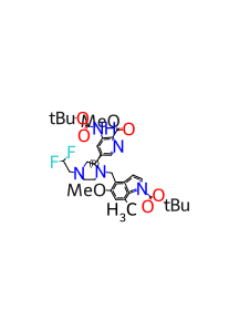 COC(=O)c1ncc([C@@H]2CN(CC(F)F)CCN2Cc2c(OC)cc(C)c3c2ccn3C(=O)OC(C)(C)C)cc1NC(=O)OC(C)(C)C